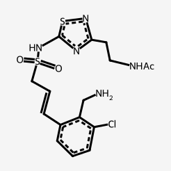 CC(=O)NCCc1nsc(NS(=O)(=O)CC=Cc2cccc(Cl)c2CN)n1